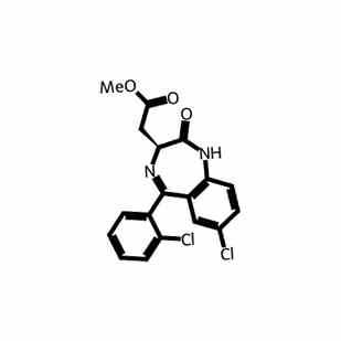 COC(=O)C[C@@H]1N=C(c2ccccc2Cl)c2cc(Cl)ccc2NC1=O